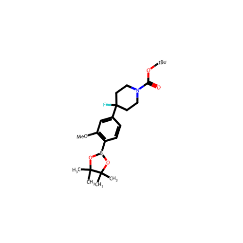 COc1cc(C2(F)CCN(C(=O)OC(C)(C)C)CC2)ccc1B1OC(C)(C)C(C)(C)O1